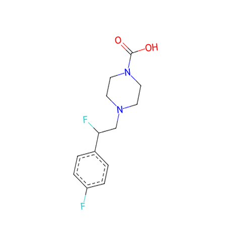 O=C(O)N1CCN(CC(F)c2ccc(F)cc2)CC1